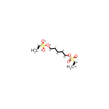 C=CS(=O)(=O)OCCCCCOS(=O)(=O)C=C